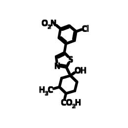 CC1CC(O)(c2ncc(-c3cc(Cl)cc([N+](=O)[O-])c3)s2)CCC1C(=O)O